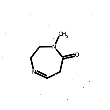 CN1CCN=CCC1=O